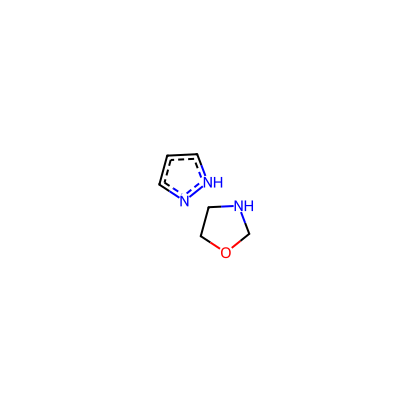 C1COCN1.c1cn[nH]c1